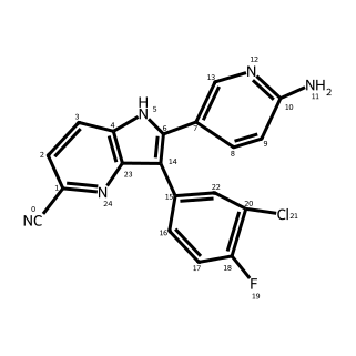 N#Cc1ccc2[nH]c(-c3ccc(N)nc3)c(-c3ccc(F)c(Cl)c3)c2n1